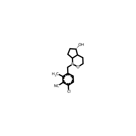 Cc1c(CN2OCCC3C2CC[C@@H]3O)ccc(Cl)c1C#N